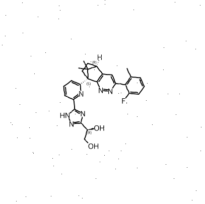 Cc1cccc(F)c1-c1cc2c(nn1)[C@@]1(c3cccc(-c4nc([C@@H](O)CO)n[nH]4)n3)CC[C@@H]2C1(C)C